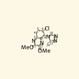 COc1nc2ccc(Cl)c(-n3cnnc3C)c2nc1OC